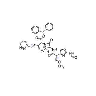 CO/N=C(/C(=O)NC1C(=O)N2C(C(=O)OC(c3ccccc3)c3ccccc3)C(/C=C/c3cccnn3)=CS[C@H]12)c1csc(NC=O)n1